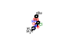 C=C/C=C\C(=C/C)N1C(=O)c2c(Cl)ccc(NS(=O)(=O)c3ccc(C(C)(C)C)cc3)c2C1=O